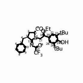 CCOC(=O)C1C[C@H](Cc2ccccc2)C(=NC(=O)C(F)(F)F)N1CC(=O)c1cc(C(C)(C)C)c(O)c(C(C)(C)C)c1